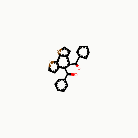 O=C(c1ccccc1)c1c(C(=O)c2ccccc2)c2ccsc2c2sccc12